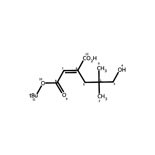 CC(C)(CO)C/C(=C\C(=O)OC(C)(C)C)C(=O)O